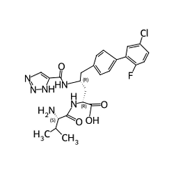 CC(C)[C@H](N)C(=O)N[C@H](C[C@@H](Cc1ccc(-c2cc(Cl)ccc2F)cc1)NC(=O)c1cnn[nH]1)C(=O)O